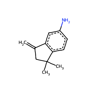 C=C1CC(C)(C)c2ccc(N)cc21